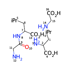 CC(C)CC(N)C(=O)O.CC(C)CC(NC(=O)CN)C(=O)O.NCC(=O)O